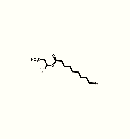 CC(C)CCCCCCCCC(=O)OC(CS(=O)(=O)O)C(F)(F)F